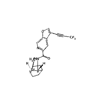 C[C@H]1[C@H](NC(=O)c2cc3c(C#CC(F)(F)F)coc3cn2)C2CCN1CC2